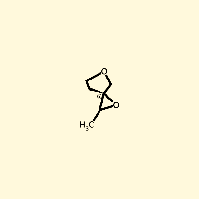 CC1O[C@]12CCOC2